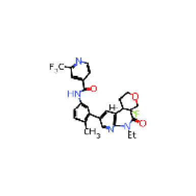 CCN1C(=O)C2(F)COCC[C@@H]2c2cc(-c3cc(NC(=O)c4ccnc(C(F)(F)F)c4)ccc3C)cnc21